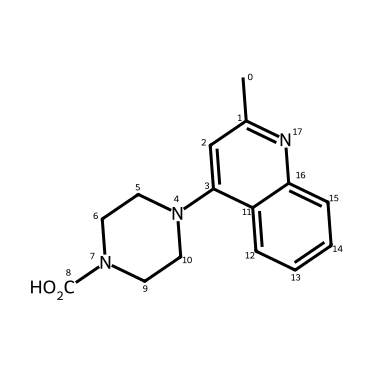 Cc1cc(N2CCN(C(=O)O)CC2)c2ccccc2n1